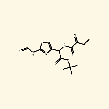 CCC(=O)C(=O)NC(C(=O)OC(C)(C)C)c1csc(NC=O)n1